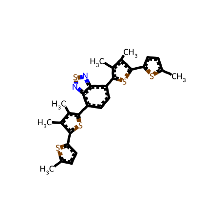 Cc1ccc(-c2sc(-c3ccc(-c4sc(-c5ccc(C)s5)c(C)c4C)c4nsnc34)c(C)c2C)s1